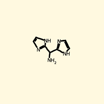 NC(c1ncc[nH]1)c1ncc[nH]1